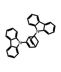 C1=C(n2c3ccccc3c3ccccc32)C2CCC1C=C2n1c2ccccc2c2ccccc21